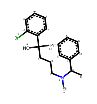 CCN(CCCC(C#N)(c1ccccc1Br)C(C)C)C(C)c1ccccc1